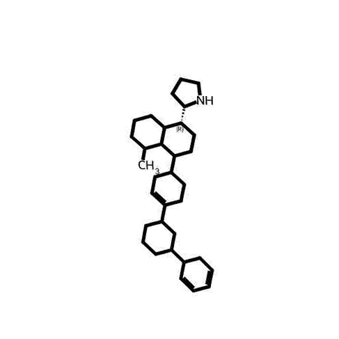 CC1CCCC2C1C(C1CC=C(C3CCCC(C4C=CC=CC4)C3)CC1)CC[C@H]2C1CCCN1